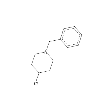 ClC1CCN(Cc2ccccc2)CC1